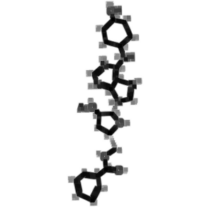 CC(=O)O[C@@H]1C[C@@H](COC(=O)c2ccccc2)O[C@H]1n1cnc2c(NC3CCC(O)CC3)ncnc21